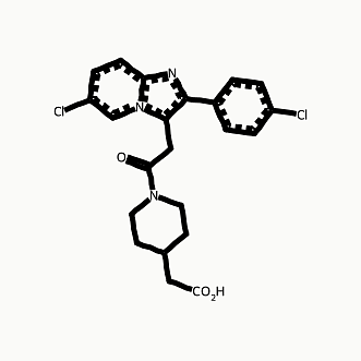 O=C(O)CC1CCN(C(=O)Cc2c(-c3ccc(Cl)cc3)nc3ccc(Cl)cn23)CC1